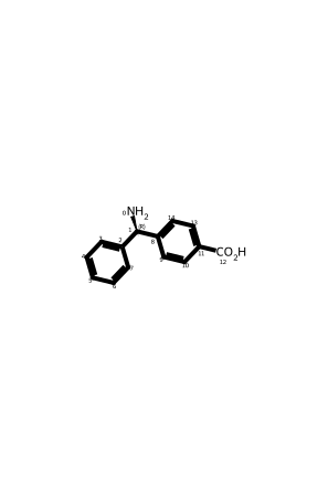 N[C@H](c1ccccc1)c1ccc(C(=O)O)cc1